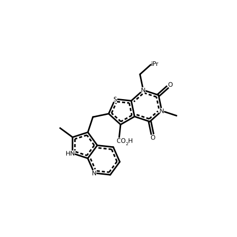 Cc1[nH]c2ncccc2c1Cc1sc2c(c1C(=O)O)c(=O)n(C)c(=O)n2CC(C)C